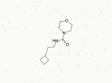 O=C(NCCC1CCC1)N1CCOCC1